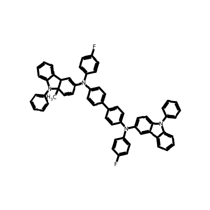 CC12C=CC(N(c3ccc(F)cc3)c3ccc(-c4ccc(N(c5ccc(F)cc5)c5ccc6c(c5)c5ccccc5n6-c5ccccc5)cc4)cc3)=CC1c1ccccc1N2c1ccccc1